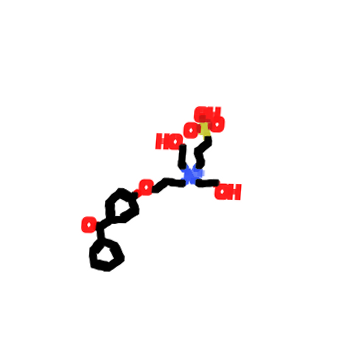 O=C(c1ccccc1)c1ccc(OCCC[N+](CCO)(CCO)CCCS(=O)(=O)O)cc1